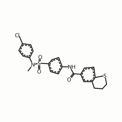 CN(c1ccc(Cl)cc1)S(=O)(=O)c1ccc(NC(=O)c2ccc3c(c2)CCCS3)cc1